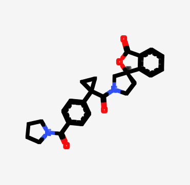 O=C1O[C@]2(CCN(C(=O)C3(c4ccc(C(=O)N5CCCC5)cc4)CC3)C2)c2ccccc21